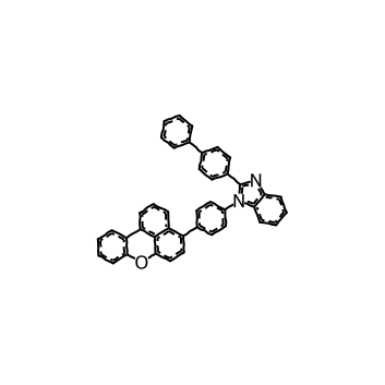 c1ccc(-c2ccc(-c3nc4ccccc4n3-c3ccc(-c4ccc5c6c(cccc46)-c4ccccc4O5)cc3)cc2)cc1